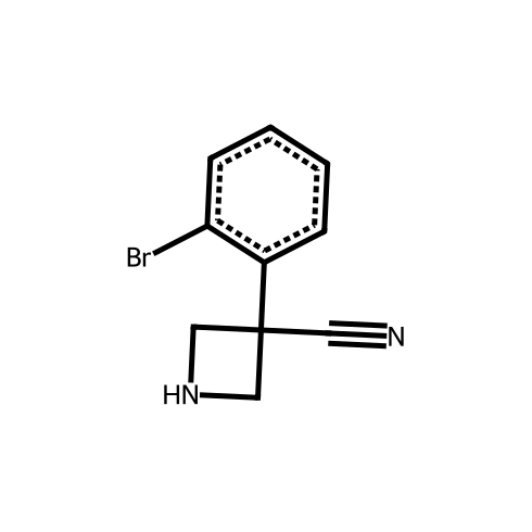 N#CC1(c2ccccc2Br)CNC1